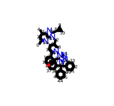 Cc1cc(C)c2nc(C3CC3)n(Cc3ccc(-c4ccccc4-c4nnnn4C(c4ccccc4)(c4ccccc4)c4ccccc4)nc3)c2n1